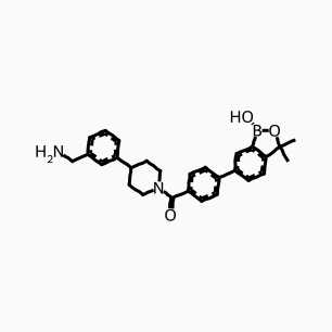 CC1(C)OB(O)c2cc(-c3ccc(C(=O)N4CCC(c5cccc(CN)c5)CC4)cc3)ccc21